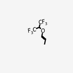 CC=COC(C(F)(F)F)C(F)(F)F